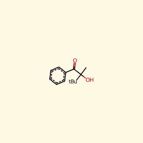 CC(C)(C)C(C)(O)C(=O)c1ccccc1